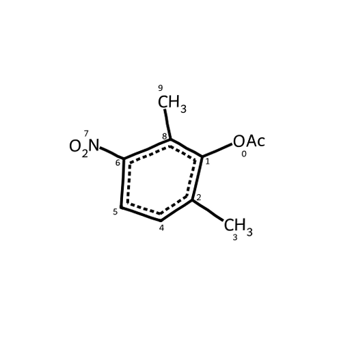 CC(=O)Oc1c(C)ccc([N+](=O)[O-])c1C